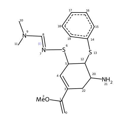 C=C(OC)C1=CC(S/N=C/N(C)C)C(Sc2ccccc2)C(N)C1